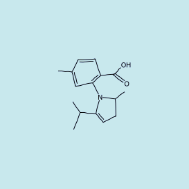 Cc1ccc(C(=O)O)c(N2C(C(C)C)=CCC2C)c1